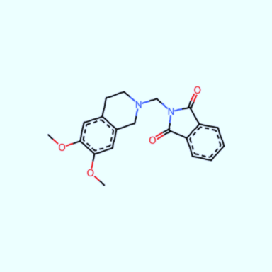 COc1cc2c(cc1OC)CN(CN1C(=O)c3ccccc3C1=O)CC2